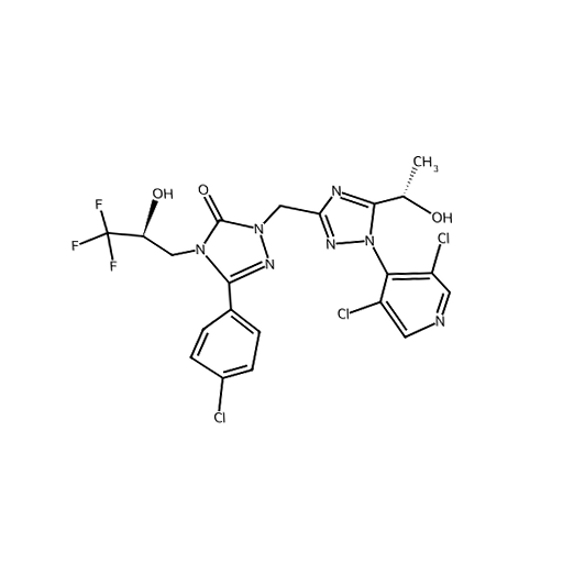 C[C@H](O)c1nc(Cn2nc(-c3ccc(Cl)cc3)n(C[C@H](O)C(F)(F)F)c2=O)nn1-c1c(Cl)cncc1Cl